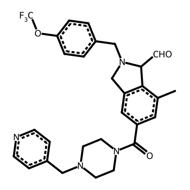 Cc1cc(C(=O)N2CCN(Cc3ccncc3)CC2)cc2c1C(C=O)N(Cc1ccc(OC(F)(F)F)cc1)C2